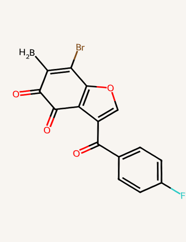 BC1=C(Br)c2occ(C(=O)c3ccc(F)cc3)c2C(=O)C1=O